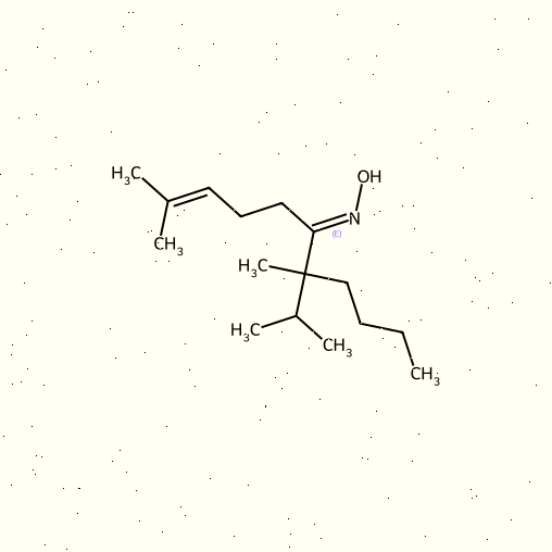 CCCCC(C)(/C(CCC=C(C)C)=N/O)C(C)C